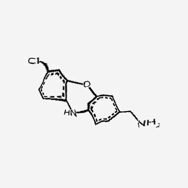 NCc1ccc2c(c1)Oc1cc(Cl)ccc1N2